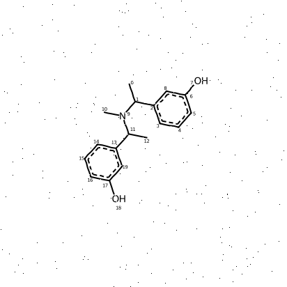 CC(c1cccc(O)c1)N(C)C(C)c1cccc(O)c1